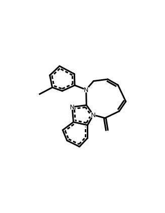 C=C1/C=C\C=C/CN(c2cccc(C)c2)c2nc3ccccc3n21